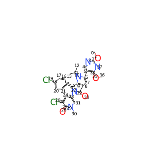 COc1ncc(-c2cc3c(n2C(C)C)C(c2ccc(Cl)cc2)N(c2cc(Cl)c(=O)n(C)c2)C3=O)c(OC)n1